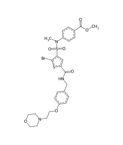 COC(=O)c1ccc(N(C)S(=O)(=O)c2cc(C(=O)NCc3ccc(OCCN4CCOCC4)cc3)sc2Br)cc1